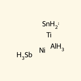 [AlH3].[Ni].[SbH3].[SnH2].[Ti]